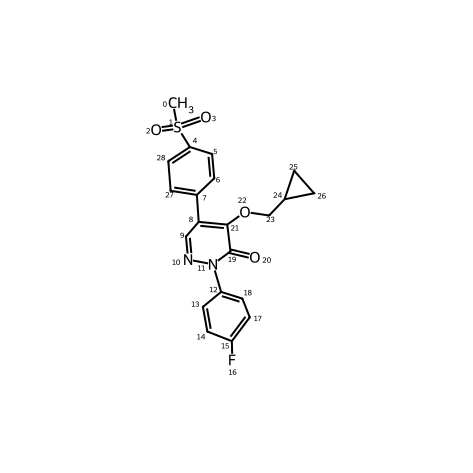 CS(=O)(=O)c1ccc(-c2cnn(-c3ccc(F)cc3)c(=O)c2OCC2CC2)cc1